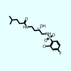 CC(C)CCC(=O)NCC[C@H](O)CNS(=O)(=O)c1ccc(F)cc1Cl